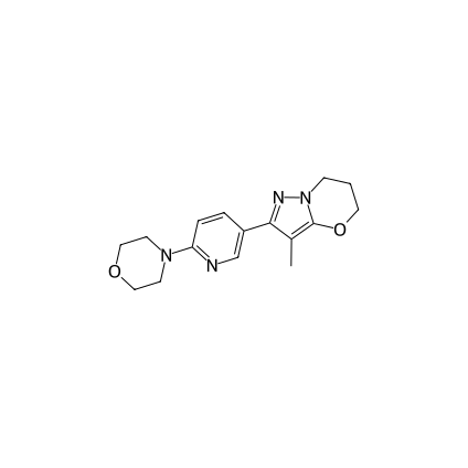 Cc1c(-c2ccc(N3CCOCC3)nc2)nn2c1OCCC2